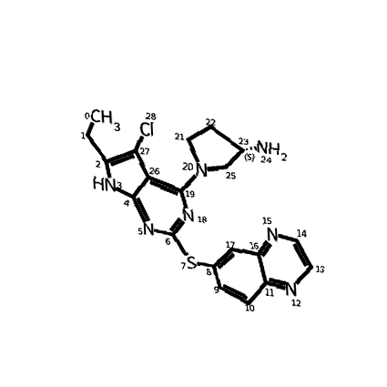 CCc1[nH]c2nc(Sc3ccc4nccnc4c3)nc(N3CC[C@H](N)C3)c2c1Cl